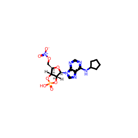 O=[N+]([O-])OC[C@H]1O[C@@H](n2cnc3c(NC4CCCC4)ncnc32)[C@@H]2OP(=O)(O)O[C@@H]21